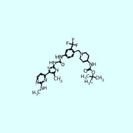 CNc1nccc(-c2sc(NC(=O)Nc3ccc(CN4CCC(NC(=O)OC(C)(C)C)CC4)c(C(F)(F)F)c3)nc2C)n1